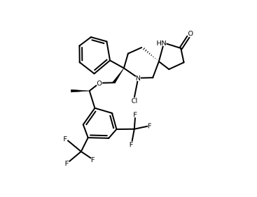 C[C@@H](OC[C@@]1(c2ccccc2)CC[C@]2(CCC(=O)N2)CN1Cl)c1cc(C(F)(F)F)cc(C(F)(F)F)c1